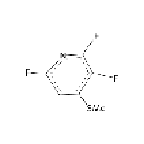 CSc1cc(F)nc(F)c1F